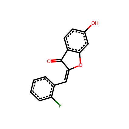 O=C1C(=Cc2ccccc2F)Oc2cc(O)ccc21